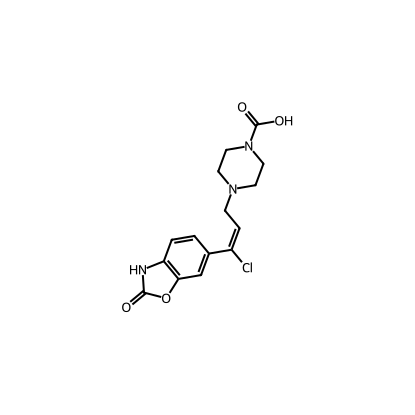 O=C(O)N1CCN(C/C=C(/Cl)c2ccc3[nH]c(=O)oc3c2)CC1